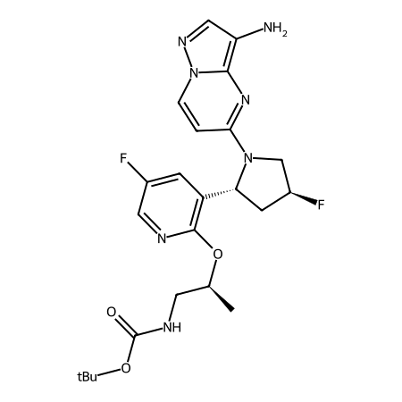 C[C@@H](CNC(=O)OC(C)(C)C)Oc1ncc(F)cc1[C@H]1C[C@H](F)CN1c1ccn2ncc(N)c2n1